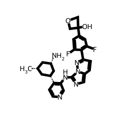 C[C@@H]1C[C@H](N)C[C@H](c2ccncc2Nc2ncc3ccc(-c4c(F)cc(C5(O)COC5)cc4F)nn23)C1